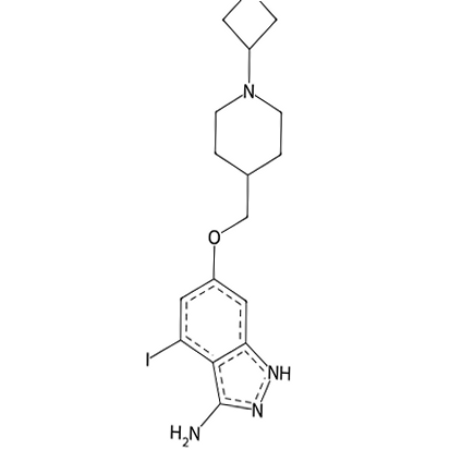 Nc1n[nH]c2cc(OCC3CCN(C4CCC4)CC3)cc(I)c12